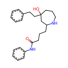 O=C(CCCC1CC(O)(CCc2ccccc2)CCCN1)Nc1ccccc1